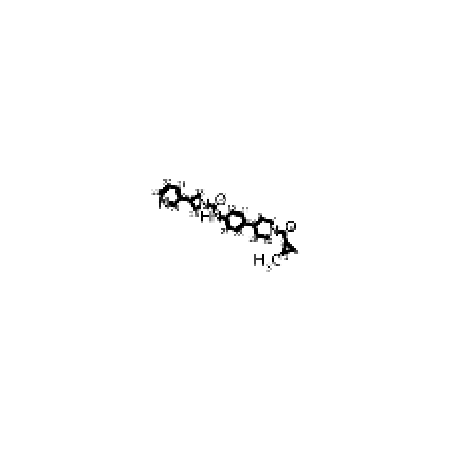 CC1CC1C(=O)N1CCC(c2ccc(NC(=O)N3CC(c4cccnc4)C3)cc2)CC1